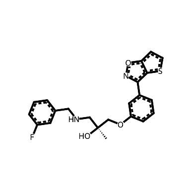 C[C@](O)(CNCc1cccc(F)c1)COc1cccc(-c2noc3ccsc23)c1